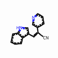 N#CC(=Cc1c[nH]c2ccccc12)c1cccnc1